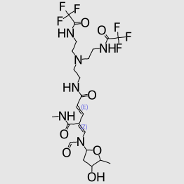 CNC(=O)C(=C\N(C=O)C1CC(O)C(C)O1)/C=C/C(=O)NCCN(CCNC(=O)C(F)(F)F)CCNC(=O)C(F)(F)F